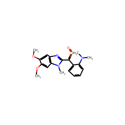 COc1cc2nc(C(=S=O)c3ccccc3N(C)C)n(C)c2cc1OC